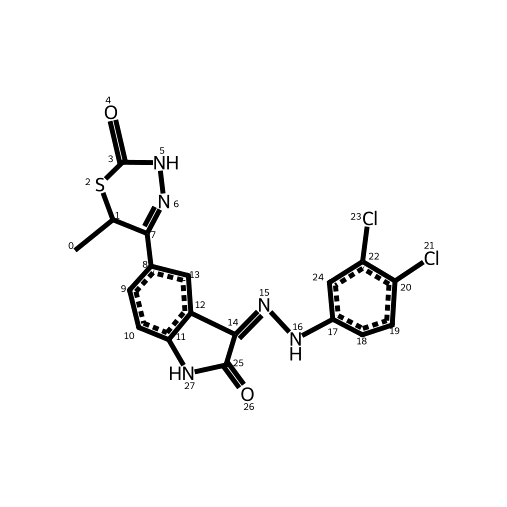 CC1SC(=O)NN=C1c1ccc2c(c1)C(=NNc1ccc(Cl)c(Cl)c1)C(=O)N2